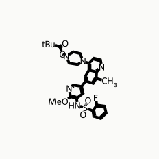 COc1ncc(-c2cc(C)c3nccc(N4CCN(OC(=O)C(C)(C)C)CC4)c3c2)cc1NS(=O)(=O)c1ccccc1F